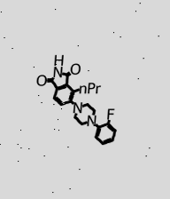 CCCc1c(N2CCN(c3ccccc3F)CC2)ccc2c1C(=O)NC2=O